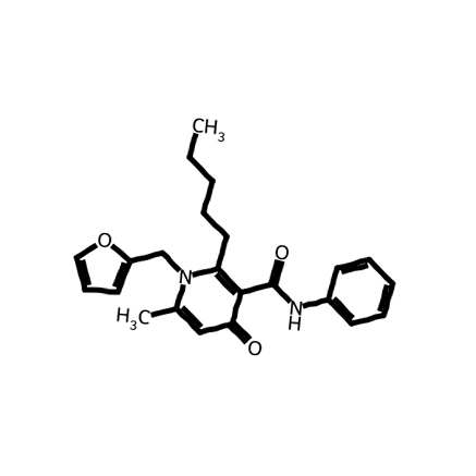 CCCCCc1c(C(=O)Nc2ccccc2)c(=O)cc(C)n1Cc1ccco1